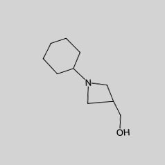 OCC1CN(C2CCCCC2)C1